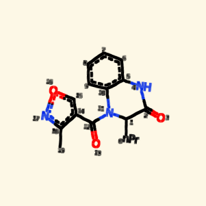 CCCC1C(=O)Nc2ccccc2N1C(=O)c1conc1C